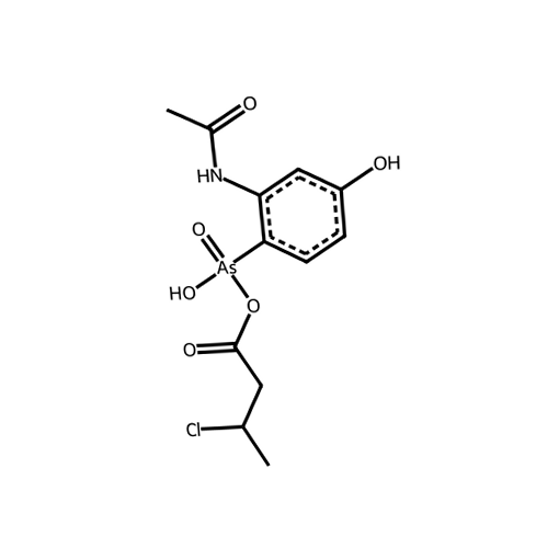 CC(=O)Nc1cc(O)ccc1[As](=O)(O)OC(=O)CC(C)Cl